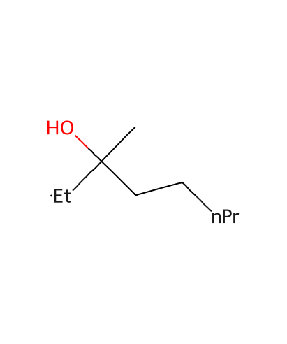 C[CH]C(C)(O)CCCCC